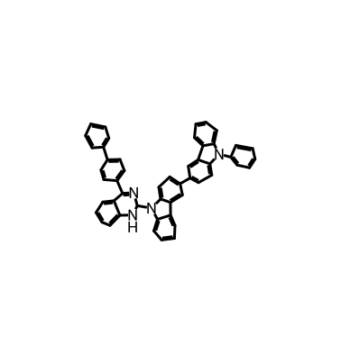 c1ccc(-c2ccc(C3=NC(n4c5ccccc5c5cc(-c6ccc7c(c6)c6ccccc6n7-c6ccccc6)ccc54)Nc4ccccc43)cc2)cc1